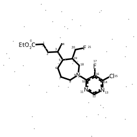 CCOC(=O)CCC(C)C1CCCN(c2ncnc(Cl)c2F)CC1CF